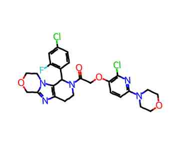 O=C(COc1ccc(N2CCOCC2)nc1Cl)N1CCc2nc3n(c2C1c1ccc(Cl)cc1F)CCOC3